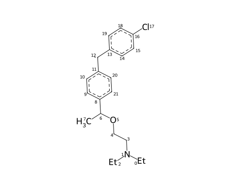 CCN(CC)CCOC(C)c1ccc([CH]c2ccc(Cl)cc2)cc1